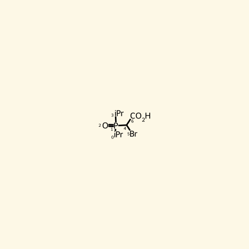 CC(C)P(=O)(C(C)C)C(Br)C(=O)O